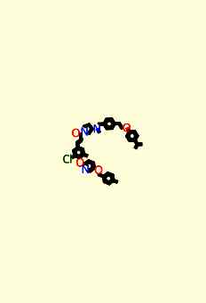 Cc1ccc(COc2ccc(Oc3c(C)cc(C=CC(=O)N4CC[C@H](N(C)Cc5ccc(CCOc6ccc(C(C)C)cc6)cc5)C4)cc3Cl)nc2)cc1